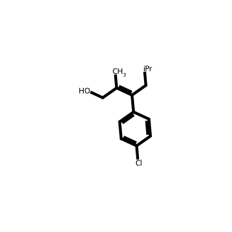 CC(CO)=C(CC(C)C)c1ccc(Cl)cc1